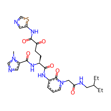 CCC(CC)CNC(=O)Cn1cccc(NC(=O)[C@H](CCC(=O)C(=O)Nc2cncs2)NC(=O)c2cncn2C)c1=O